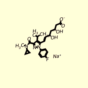 CC(C)c1c(C(=O)N(C)C2CC2)nn(-c2ccc(F)cc2)c1C=C[C@H](O)C[C@@H](O)CC(=O)[O-].[Na+]